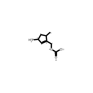 CC1CC(P)C=C1COC(=O)Cl